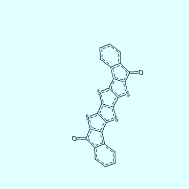 O=c1c2ccccc2c2c1sc1c3sc4c(sc5c(=O)c6ccccc6c54)c3sc12